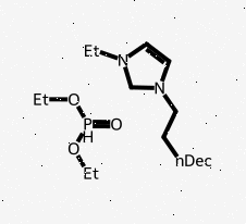 CCCCCCCCCCCCN1C=CN(CC)C1.CCO[PH](=O)OCC